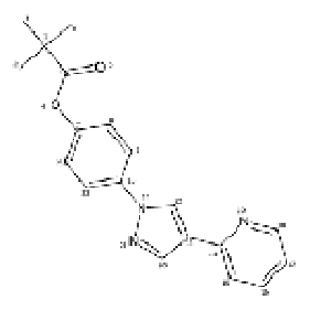 CC(C)(C)C(=O)Oc1ccc(-n2cc(-c3ccccn3)cn2)cc1